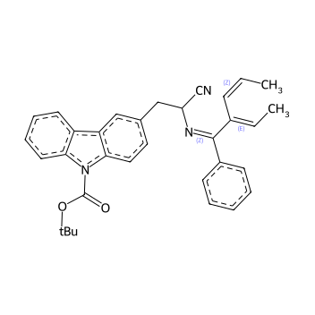 C\C=C/C(=C\C)C(=N\C(C#N)Cc1ccc2c(c1)c1ccccc1n2C(=O)OC(C)(C)C)/c1ccccc1